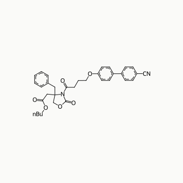 CCCCOC(=O)CC1(Cc2ccccc2)COC(=O)N1C(=O)CCCOc1ccc(-c2ccc(C#N)cc2)cc1